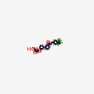 CC(C)(Oc1cccc([C@@H]2CCCN(C(=O)CCc3ccc(C(F)(F)F)cc3)C2)c1)C(=O)CO